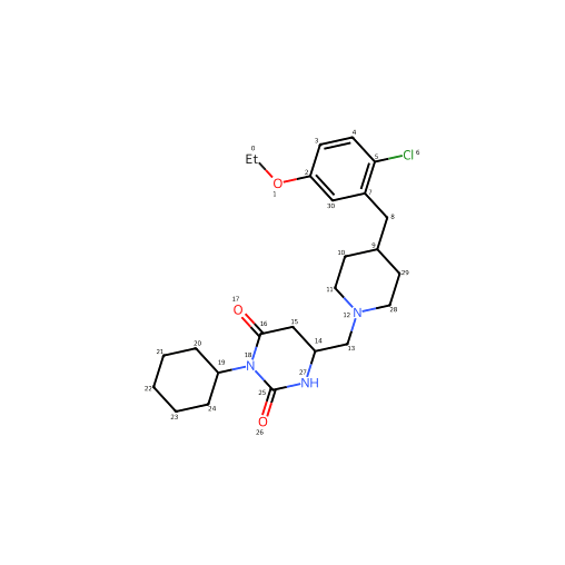 CCOc1ccc(Cl)c(CC2CCN(CC3CC(=O)N(C4CCCCC4)C(=O)N3)CC2)c1